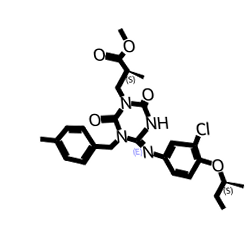 CC[C@H](C)Oc1ccc(/N=c2\[nH]c(=O)n(C[C@H](C)C(=O)OC)c(=O)n2Cc2ccc(C)cc2)cc1Cl